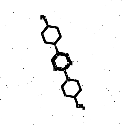 CC1CCN(c2ncc([C@H]3CC[C@H](C(C)C)CC3)cn2)CC1